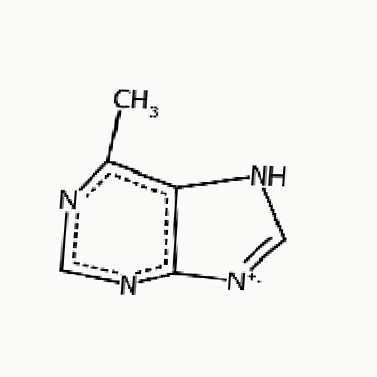 Cc1ncnc2c1NC=[N+]2